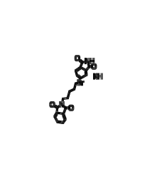 O=C1NC(=O)c2ccccc21.O=C1c2ccccc2C(=O)N1CCCCCBr.[KH]